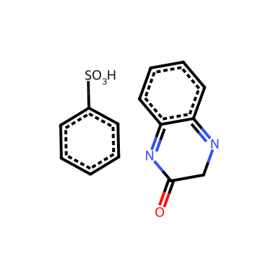 O=C1CN=c2ccccc2=N1.O=S(=O)(O)c1ccccc1